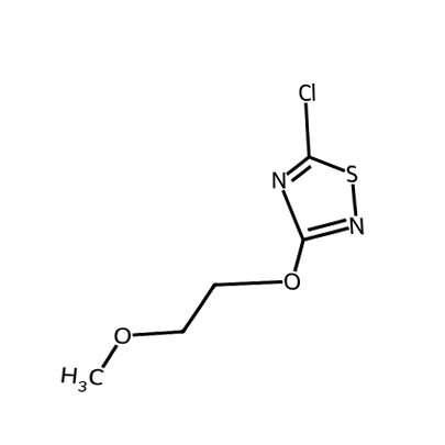 COCCOc1nsc(Cl)n1